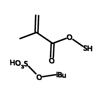 C=C(C)C(=O)OS.CCC(C)OS(=O)(=O)O